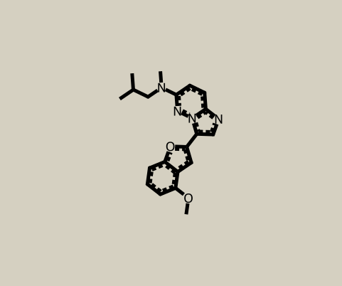 COc1cccc2oc(-c3cnc4ccc(N(C)CC(C)C)nn34)cc12